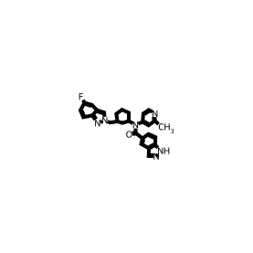 Cc1cc(N(C(=O)c2ccc3[nH]ncc3c2)C2CCCC(Cn3cc4cc(F)ccc4n3)C2)ccn1